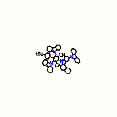 CC(C)(C)c1ccc(-c2c(-n3c4c(c5ccccc53)CCC=C4)c(C#N)c(-n3c4ccc(-n5c6ccccc6c6ccccc65)cc4c4c5c(ccc43)CCC=C5)c(C#N)c2-n2c3ccccc3c3ccccc32)cc1